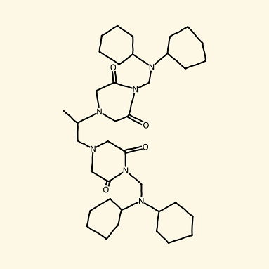 CC(CN1CC(=O)N(CN(C2CCCCC2)C2CCCCC2)C(=O)C1)N1CC(=O)N(CN(C2CCCCC2)C2CCCCC2)C(=O)C1